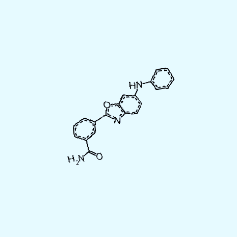 NC(=O)c1cccc(-c2nc3ccc(Nc4ccccc4)cc3o2)c1